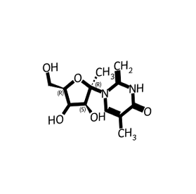 C=C1NC(=O)C(C)=CN1[C@]1(C)O[C@H](CO)C(O)[C@@H]1O